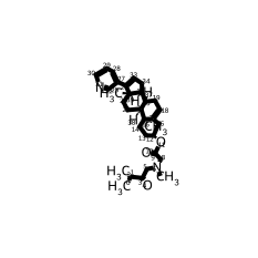 CC(C)C(=O)CN(C)CC(=O)O[C@H]1CC[C@@]2(C)C(=CC[C@@H]3[C@@H]2CC[C@]2(C)C(c4cccnc4)=CC[C@@H]32)C1